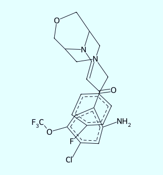 Nc1cc(Cl)c(OC(F)(F)F)cc1C(=O)/C=C/N1C2COCC1CN(Cc1ccc(F)cc1)C2